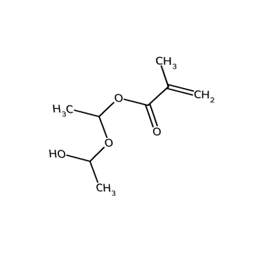 C=C(C)C(=O)OC(C)OC(C)O